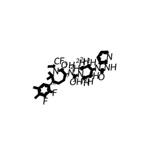 [2H]C1([2H])C(n2c(=O)[nH]c3ncccc32)C([2H])([2H])C([2H])([2H])N(C(=O)N[C@@H]2CC[C@@H](c3cc(C)c(C)c(F)c3F)C(C)(C)N(C(C)C(F)(F)F)C2=O)C1([2H])[2H]